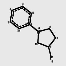 FC1CCN(c2c[c]ccc2)C1